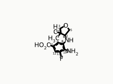 CC1(C)COC[C@H]1Nc1cc(C(=O)O)cc(F)c1N